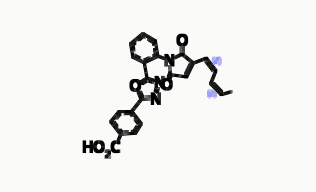 C/C=C\C=C/C1=CC(=O)N(c2ccccc2-c2nnc(-c3ccc(C(=O)O)cc3)o2)C1=O